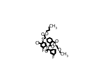 CCCCOC(=O)CSc1cc(N(C(=O)C2=C(C(=O)OCCOCC)CCCC2)C(=O)c2cccc(F)c2)c(F)cc1Cl